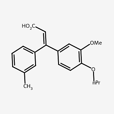 CCCOc1ccc(C(=CC(=O)O)c2cccc(C)c2)cc1OC